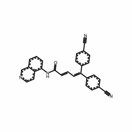 N#Cc1ccc(C(=CC=CC(=O)Nc2cccc3cnccc23)c2ccc(C#N)cc2)cc1